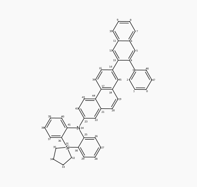 c1ccc(-c2cc3ccccc3cc2-c2ccc3c(ccc4cc(N5c6ccccc6[Si]6(CCCC6)c6ccccc65)ccc43)c2)cc1